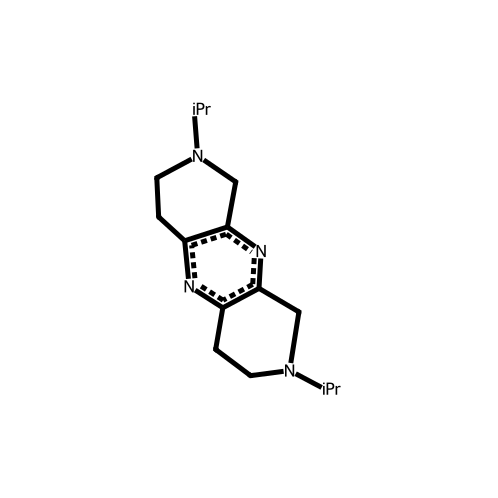 CC(C)N1CCc2nc3c(nc2C1)CN(C(C)C)CC3